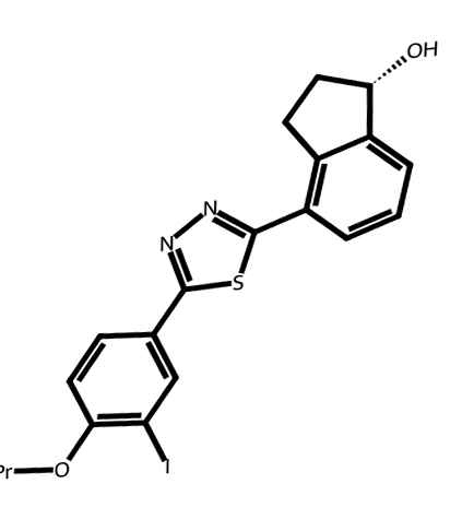 CC(C)Oc1ccc(-c2nnc(-c3cccc4c3CC[C@@H]4O)s2)cc1I